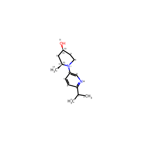 CC(C)c1ccc(N2CC[C@H](O)C[C@@H]2C)cn1